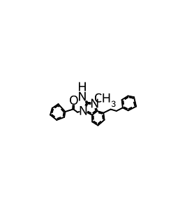 Cn1c(=N)n(CC(=O)c2ccccc2)c2cccc(CCc3ccccc3)c21